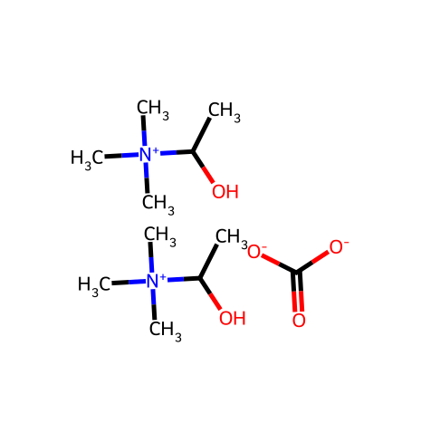 CC(O)[N+](C)(C)C.CC(O)[N+](C)(C)C.O=C([O-])[O-]